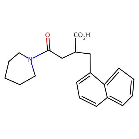 O=C(O)C(CC(=O)N1CCCCC1)Cc1cccc2ccccc12